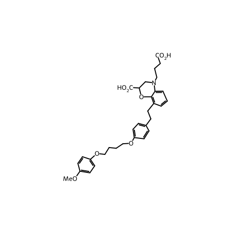 COc1ccc(OCCCCOc2ccc(CCc3cccc4c3OC(C(=O)O)CN4CCCC(=O)O)cc2)cc1